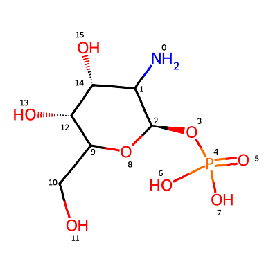 NC1[C@@H](OP(=O)(O)O)OC(CO)[C@H](O)[C@@H]1O